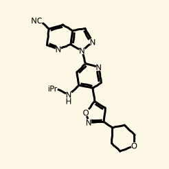 CC(C)Nc1cc(-n2ncc3cc(C#N)cnc32)ncc1-c1cc(C2CCOCC2)no1